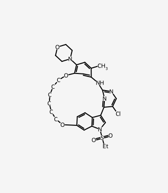 CCS(=O)(=O)n1cc2c3ccc(cc31)OCCCCCCOc1cc(c(C)cc1N1CCOCC1)Nc1ncc(Cl)c-2n1